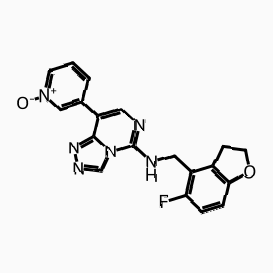 [O-][n+]1cccc(-c2cnc(NCc3c(F)ccc4c3CCO4)n3cnnc23)c1